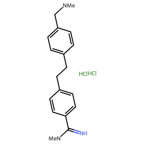 CNCc1ccc(CCc2ccc(C(=N)NC)cc2)cc1.Cl.Cl